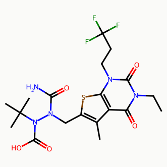 CCn1c(=O)c2c(C)c(CN(C(N)=O)N(C(=O)O)C(C)(C)C)sc2n(CCC(F)(F)F)c1=O